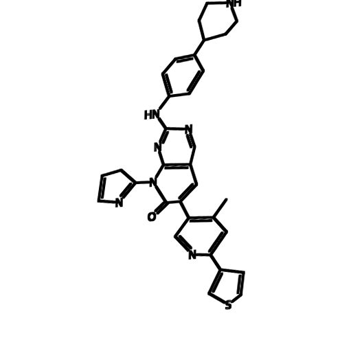 Cc1cc(-c2ccsc2)ncc1-c1cc2cnc(Nc3ccc(C4CCNCC4)cc3)nc2n(C2=NC=CC2)c1=O